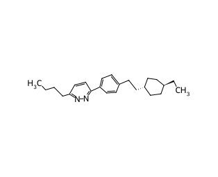 CCCCc1ccc(-c2ccc(CC[C@H]3CC[C@H](CC)CC3)cc2)nn1